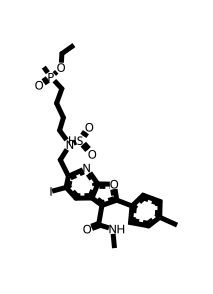 CCOP(C)(=O)CCCCN(Cc1nc2oc(-c3ccc(C)cc3)c(C(=O)NC)c2cc1I)[SH](=O)=O